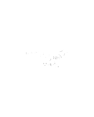 CCCCCCCCCCCCCCCC(=O)NC(Cc1ccccc1)C(=O)OC